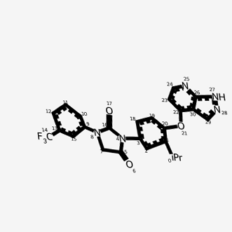 CC(C)c1cc(N2C(=O)CN(c3cccc(C(F)(F)F)c3)C2=O)ccc1Oc1ccnc2[nH]ncc12